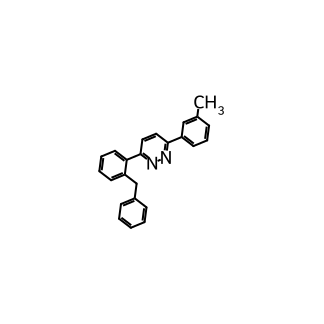 Cc1cccc(-c2ccc(-c3ccccc3Cc3ccccc3)nn2)c1